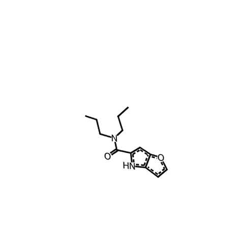 CCCN(CCC)C(=O)c1cc2occc2[nH]1